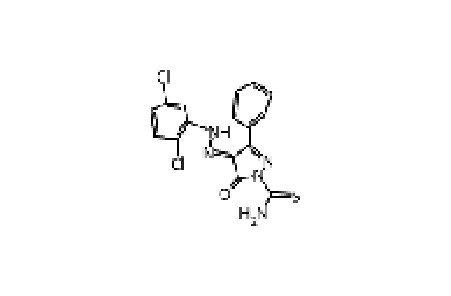 NC(=S)N1N=C(c2ccccc2)/C(=N\Nc2cc(Cl)ccc2Cl)C1=O